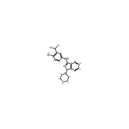 FC(F)c1cc(Nc2nn(C3CCOCC3)c3ccncc23)ccc1Br